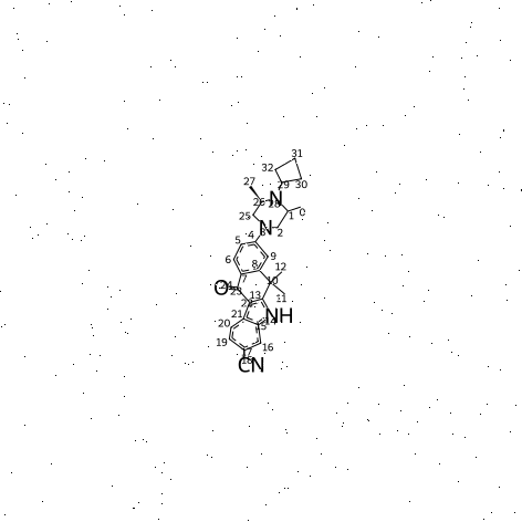 CC1CN(c2ccc3c(c2)C(C)(C)c2[nH]c4cc(C#N)ccc4c2C3=O)C[C@@H](C)N1C1CCC1